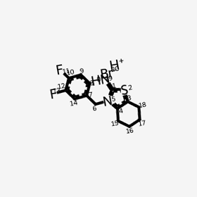 N=c1sc2c(n1Cc1ccc(F)c(F)c1)CCCC2.[Br-].[H+]